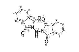 O=C1c2ccccc2C(=O)N1NN1C(=O)c2ccccc2C1=O